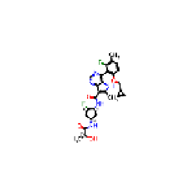 Cc1ccc(OCC2CC2)c(-c2ncnc3c(C(=O)N[C@@H]4C[C@@H](NC(=O)[C@H](C)O)C[C@H]4F)c(C)[nH]c23)c1F